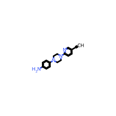 C#Cc1ccc(N2CCN(c3ccc(N)cc3)CC2)nc1